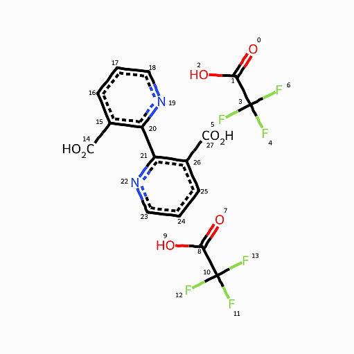 O=C(O)C(F)(F)F.O=C(O)C(F)(F)F.O=C(O)c1cccnc1-c1ncccc1C(=O)O